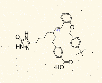 CC(C)(C)c1ccc(COc2ccccc2/C=C/C(CCCCc2n[nH]c(=O)[nH]2)CCc2ccc(C(=O)O)cc2)cc1